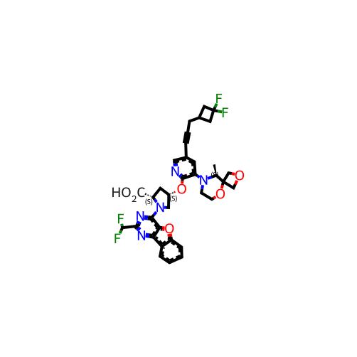 C[C@@H]1N(c2cc(C#CCC3CC(F)(F)C3)cnc2O[C@H]2C[C@@H](C(=O)O)N(c3nc(C(F)F)nc4c3oc3ccccc34)C2)CCOC12COC2